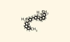 Cc1ccc2ccc3ccc(-c4ccc(Sc5ccc(-c6ccc7ccc8ccc(C)nc8c7n6)c(C)c5)cc4C)nc3c2n1